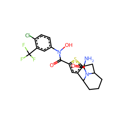 NC(=O)N1C2CCCC1c1cc(C(=O)N(O)c3ccc(Cl)c(C(F)(F)F)c3)sc1C2